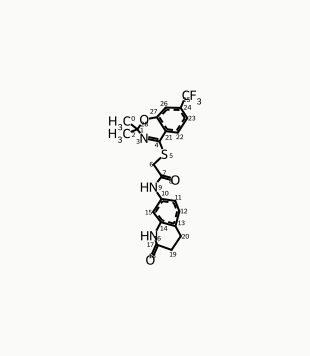 CC1(C)N=C(SCC(=O)Nc2ccc3c(c2)NC(=O)CC3)c2ccc(C(F)(F)F)cc2O1